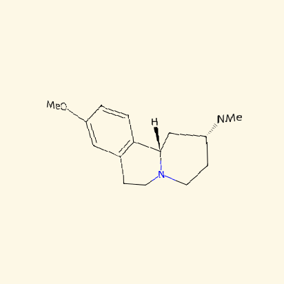 CN[C@@H]1CCN2CCc3cc(OC)ccc3[C@@H]2C1